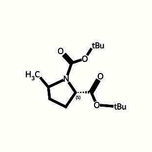 CC1CC[C@@H](C(=O)OC(C)(C)C)N1C(=O)OC(C)(C)C